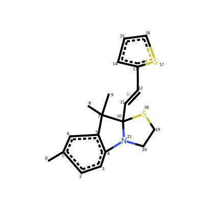 Cc1ccc2c(c1)C(C)(C)C1(/C=C/c3cccs3)SCCN21